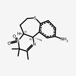 CC1=N[C@]2(C)c3cc(N)ccc3SCC[C@@H]2S(=O)(=O)C1(C)C